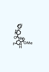 COC(=O)C1NCC(F)CC1NC(=O)C1CCC(n2ccnc2)N=N1